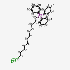 BrCCCCCCCCCCCC[P+](c1ccccc1)(c1ccccc1)c1ccccc1